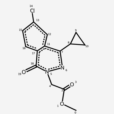 COC(=O)Cn1nc(C2CC2)c2cc(Cl)ccc2c1=O